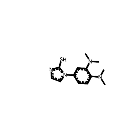 CN(C)c1ccc(-n2ccnc2S)cc1N(C)C